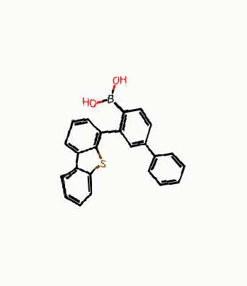 OB(O)c1ccc(-c2ccccc2)cc1-c1cccc2c1sc1ccccc12